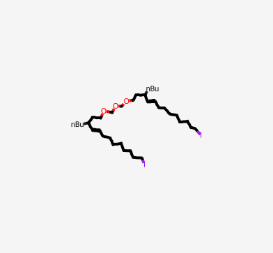 CCCCC(C=CCCCCCCCCI)CCOCOCOCCC(C=CCCCCCCCCI)CCCC